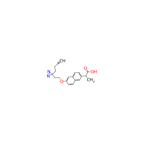 C#CCCC1(CCOc2ccc3cc(C(C)C(=O)O)ccc3c2)N=N1